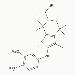 COc1cc(Nc2sc3c(c2C)C(C)(C)CC(CC(C)C)C3(C)C)ccc1C(=O)O